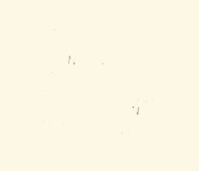 CC(C)N1CC2(CCOCC2)c2cc([N+](=O)[O-])ccc21